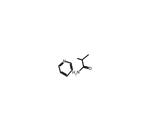 CC(C)C(N)=O.c1ccncc1